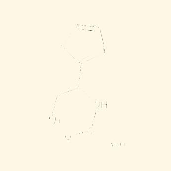 CC(C)(C)[S@+]([O-])NC(CN)c1cccs1